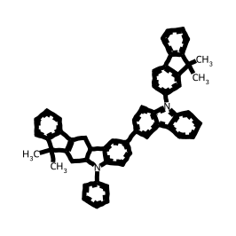 CC1(C)C2=C(CC3c4cc(-c5ccc6c(c5)c5ccccc5n6-c5ccc6c(c5)C(C)(C)c5ccccc5-6)ccc4N(c4ccccc4)C3C2)c2ccccc21